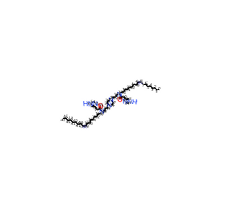 CCCCCCCC/C=C\CCCCCCCCN(CCCN1CCN(CCCN(CCCCCCCC/C=C\CCCCCCCC)C(=O)Cc2c[nH]cn2)CC1)C(=O)Cc1c[nH]cn1